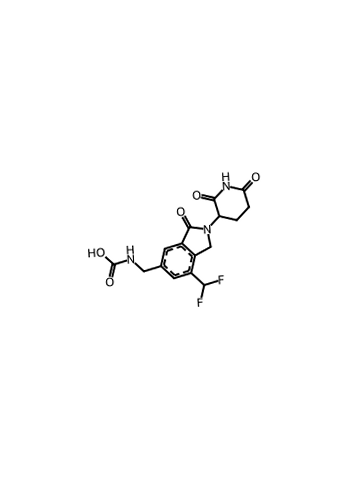 O=C(O)NCc1cc2c(c(C(F)F)c1)CN(C1CCC(=O)NC1=O)C2=O